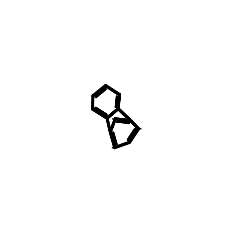 [c]1c[c]c2[c]c1-c1ccccc1-2